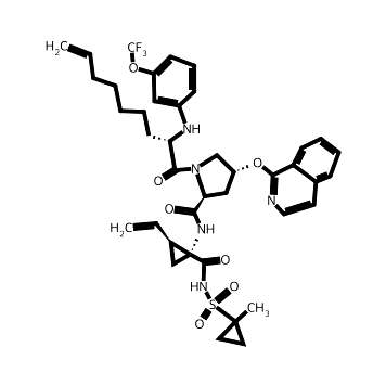 C=CCCCCC[C@H](Nc1cccc(OC(F)(F)F)c1)C(=O)N1C[C@H](Oc2nccc3ccccc23)C[C@H]1C(=O)N[C@]1(C(=O)NS(=O)(=O)C2(C)CC2)C[C@H]1C=C